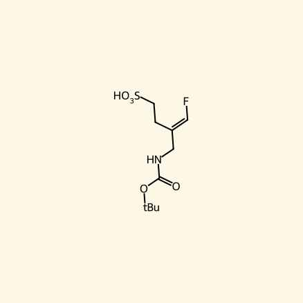 CC(C)(C)OC(=O)NCC(=CF)CCS(=O)(=O)O